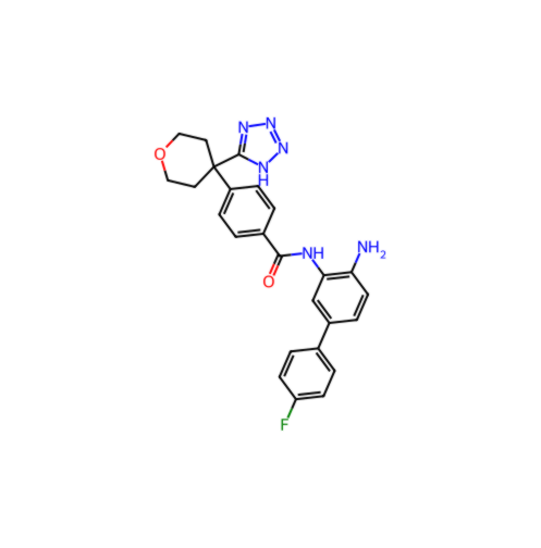 Nc1ccc(-c2ccc(F)cc2)cc1NC(=O)c1ccc(C2(c3nnn[nH]3)CCOCC2)cc1